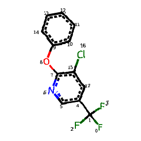 FC(F)(F)c1cnc(Oc2cc[c]cc2)c(Cl)c1